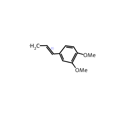 [CH2]/C=C/c1ccc(OC)c(OC)c1